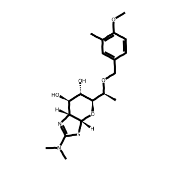 COc1ccc(CO[C@@H](C)[C@H]2O[C@@H]3SC(N(C)C)=N[C@@H]3[C@@H](O)[C@@H]2O)cc1C